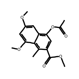 COC(=O)c1cc(OC(C)=O)c2cc(OC)cc(OC)c2c1C